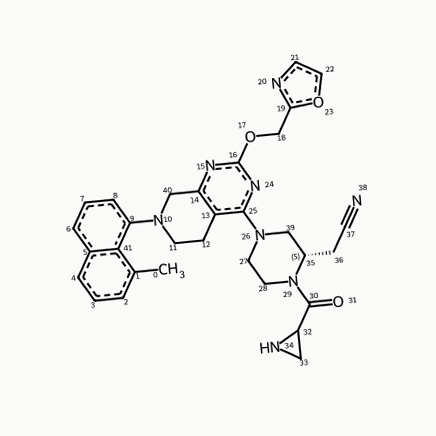 Cc1cccc2cccc(N3CCc4c(nc(OCc5ncco5)nc4N4CCN(C(=O)C5CN5)[C@@H](CC#N)C4)C3)c12